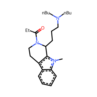 CCCCN(CCCC)CCCC1c2c(c3ccccc3n2C)CCN1C(=O)CC